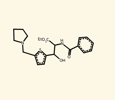 CCOC(=O)C(NC(=O)c1ccccc1)C(O)c1ccc(CN2CCCC2)s1